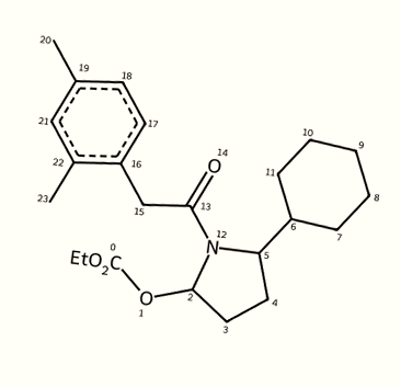 CCOC(=O)OC1CCC(C2CCCCC2)N1C(=O)Cc1ccc(C)cc1C